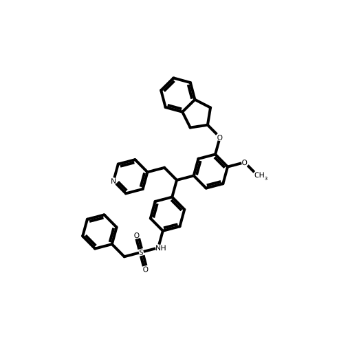 COc1ccc(C(Cc2ccncc2)c2ccc(NS(=O)(=O)Cc3ccccc3)cc2)cc1OC1Cc2ccccc2C1